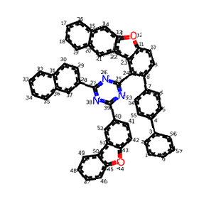 c1ccc(-c2ccc(-c3ccc4oc5cc6ccccc6cc5c4c3-c3nc(-c4ccc5ccccc5c4)nc(-c4ccc5oc6ccccc6c5c4)n3)cc2)cc1